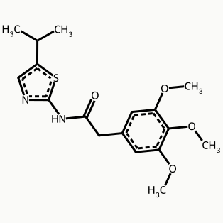 COc1cc(CC(=O)Nc2ncc(C(C)C)s2)cc(OC)c1OC